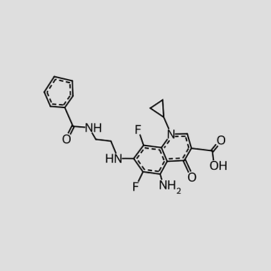 Nc1c(F)c(NCCNC(=O)c2ccccc2)c(F)c2c1c(=O)c(C(=O)O)cn2C1CC1